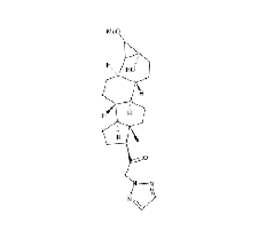 COC1C2[C@@H]3CC[C@@H]4[C@H](CC[C@]5(C)[C@@H](C(=O)Cn6nccn6)CC[C@@H]45)[C@H]3CC[C@]12O